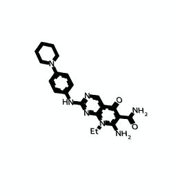 CCn1c(N)c(C(N)=O)c(=O)c2cnc(Nc3ccc(N4CCCCC4)cc3)nc21